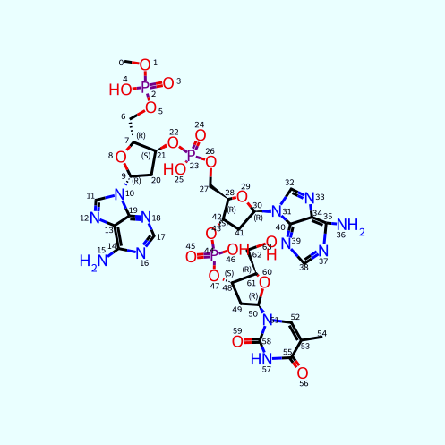 COP(=O)(O)OC[C@H]1O[C@@H](n2cnc3c(N)ncnc32)C[C@@H]1OP(=O)(O)OC[C@H]1O[C@@H](n2cnc3c(N)ncnc32)C[C@@H]1OP(=O)(O)O[C@H]1C[C@H](n2cc(C)c(=O)[nH]c2=O)O[C@@H]1CO